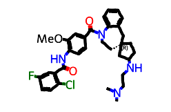 COc1cc(C(=O)N2CC[C@@]3(CCC(NCCN(C)C)C3)Cc3ccccc32)ccc1NC(=O)c1cc(F)ccc1Cl